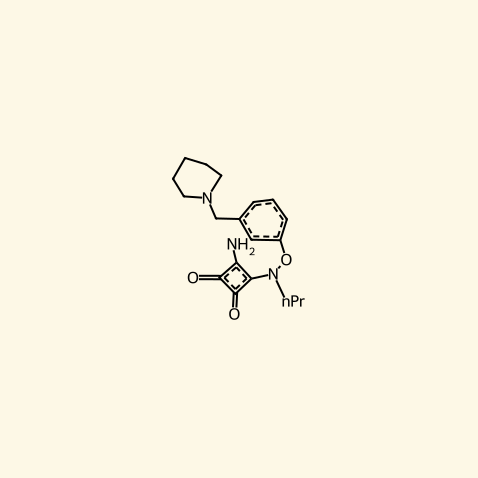 CCCN(Oc1cccc(CN2CCCCC2)c1)c1c(N)c(=O)c1=O